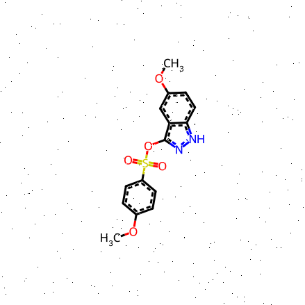 COc1ccc(S(=O)(=O)Oc2n[nH]c3ccc(OC)cc23)cc1